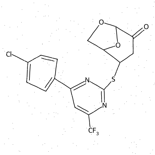 O=C1CC(Sc2nc(-c3ccc(Cl)cc3)cc(C(F)(F)F)n2)C2COC1O2